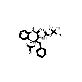 CC(C)(C)OC(=O)N[C@@H]1C(=O)Nc2ccccc2O[C@]1(CC(=O)O)Cc1ccccc1